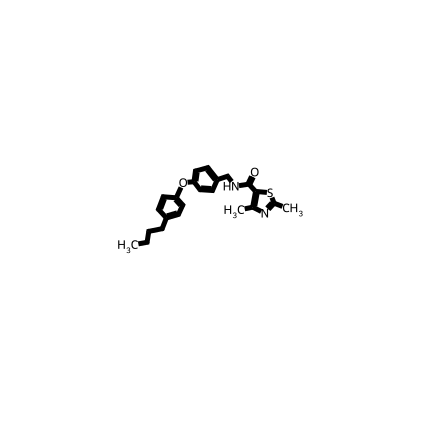 CCCCc1ccc(Oc2ccc(CNC(=O)c3sc(C)nc3C)cc2)cc1